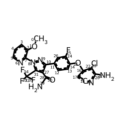 COc1cccnc1-n1nc(-c2ccc(Oc3ccnc(N)c3Cl)c(F)c2)c(C(N)=O)c1C(F)(F)F